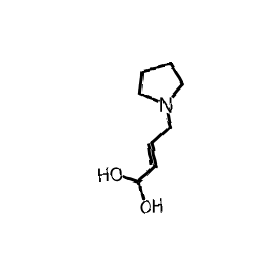 OC(O)/C=C/CN1CCCC1